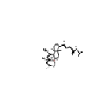 CC(C)NC(=O)CC[C@H](C)[C@@H]1CC[C@@H]2[C@H]3[C@H](O)C[C@H]4C[C@@H](C)CC[C@@]4(C)[C@@H]3CC[C@]21C